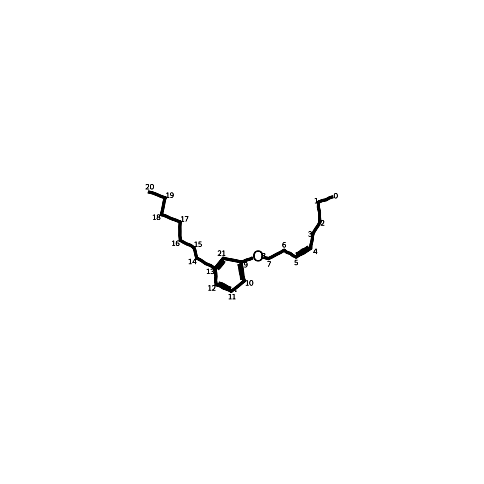 CCCC/C=C\CCOc1c[c]cc(CCCCCCC)c1